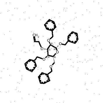 C=CCO[C@@H]1[C@@H](OCc2ccccc2)[C@H](OCc2ccccc2)O[C@H](COCc2ccccc2)[C@H]1OCc1ccccc1